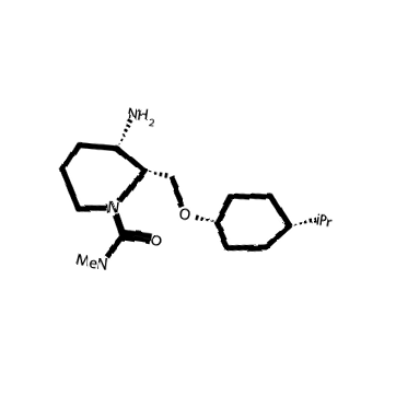 CNC(=O)N1CCC[C@H](N)[C@@H]1CO[C@H]1CC[C@@H](C(C)C)CC1